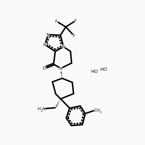 Cc1cccc([C@]2(CN)CC[C@@H](N3CCn4c(nnc4C(F)(F)F)C3=O)CC2)c1.Cl.Cl